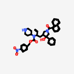 C=CC(CC1CN(C(=O)c2cccc3ccccc23)CC1(O)c1ccccc1)N(C(=O)OCc1ccc([N+](=O)[O-])cc1)C1CCNCC1